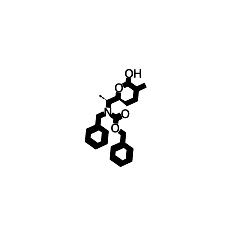 CC1CC[C@@H]([C@@H](C)N(Cc2ccccc2)C(=O)OCc2ccccc2)OC1O